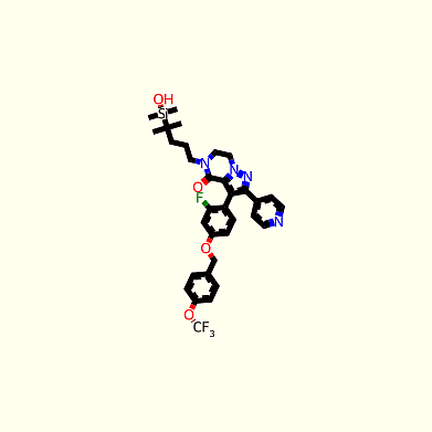 CC(C)(CCCN1CCn2nc(-c3ccncc3)c(-c3ccc(OCc4ccc(OC(F)(F)F)cc4)cc3F)c2C1=O)[Si](C)(C)O